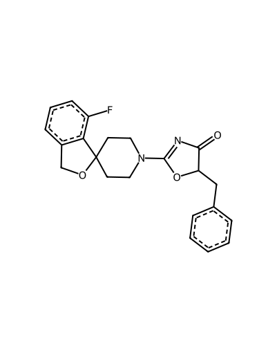 O=C1N=C(N2CCC3(CC2)OCc2cccc(F)c23)OC1Cc1ccccc1